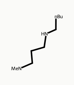 CCCCCNCCCNC